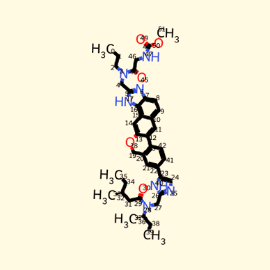 CCCN(Cc1nc2ccc3cc4c(cc3c2[nH]1)OCc1cc(-c2cnc(CN(C(=O)C[C@@H](C)CC)[C@@H](C)CC)[nH]2)ccc1-4)C(=O)CNC(=O)OC